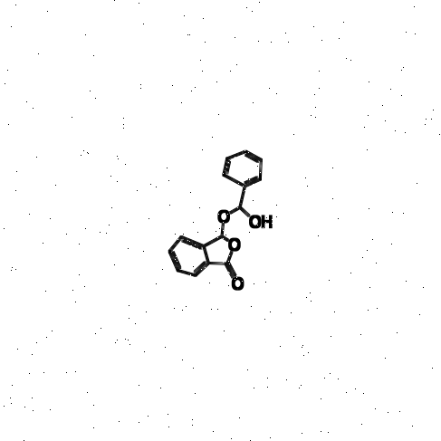 O=C1OC(OC(O)c2ccccc2)c2ccccc21